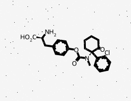 CN(C(=O)Oc1ccc(C[C@H](N)C(=O)O)cc1)[C@]1(c2ccccc2Cl)CCCCC1=O